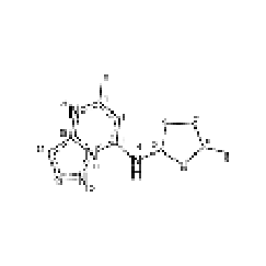 Cc1cc(NC2CCC(C)C2)n2nccc2n1